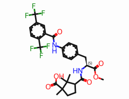 COC(=O)[C@H](Cc1ccc(NC(=O)c2cc(C(F)(F)F)ccc2C(F)(F)F)cc1)NC(=O)C1CCC(C)(C(=O)O)C1(C)C